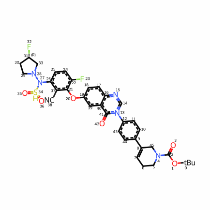 CC(C)(C)OC(=O)N1CCC=C(c2ccc(-n3cnc4ccc(Oc5c(F)ccc(N(N6CC[C@@H](F)C6)[SH](=O)=O)c5C#N)cc4c3=O)cc2)C1